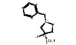 O=C(O)[C@]1(F)CCN(Cc2ccccc2)C1